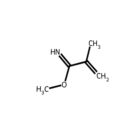 C=C(C)C(=N)OC